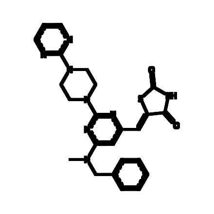 CN(Cc1ccccc1)c1cc(C=C2SC(=O)NC2=O)nc(N2CCN(c3ncccn3)CC2)n1